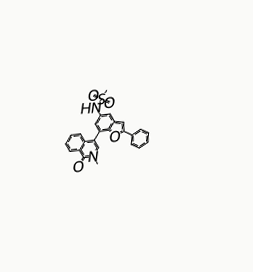 Cn1cc(-c2cc(NS(C)(=O)=O)cc3cc(-c4ccccc4)oc23)c2ccccc2c1=O